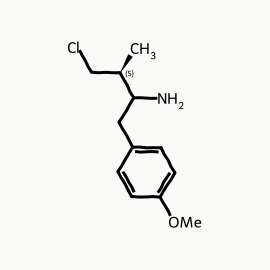 COc1ccc(CC(N)[C@H](C)CCl)cc1